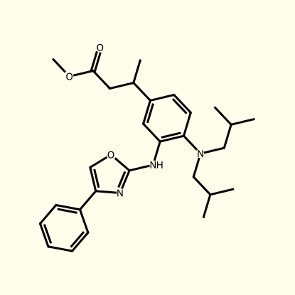 COC(=O)CC(C)c1ccc(N(CC(C)C)CC(C)C)c(Nc2nc(-c3ccccc3)co2)c1